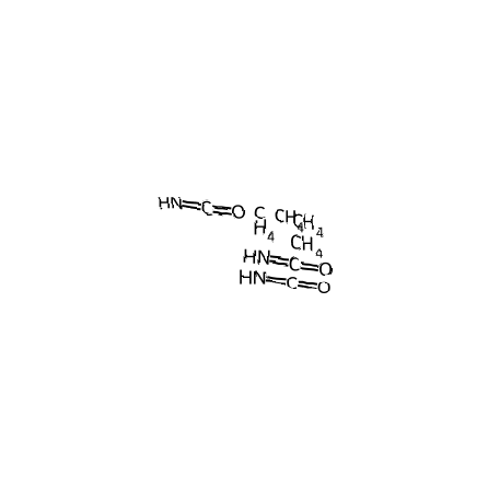 C.C.C.C.N=C=O.N=C=O.N=C=O